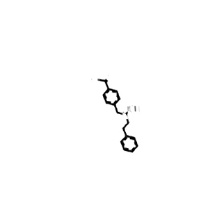 CN(CCc1ccccc1)Cc1ccc(C(=O)Cl)cc1.Cl